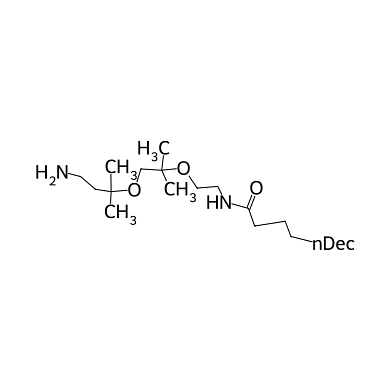 CCCCCCCCCCCCCC(=O)NCCOC(C)(C)COC(C)(C)CCN